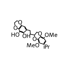 COc1cc(C(C)C)c(OC)c2c1OCC(CCc1cc3c(c(O)c1O)OCCO3)O2